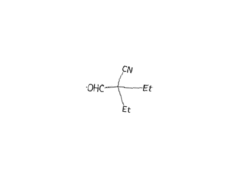 CCC([C]=O)(C#N)CC